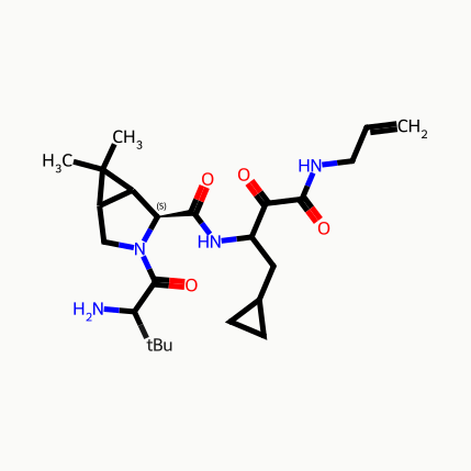 C=CCNC(=O)C(=O)C(CC1CC1)NC(=O)[C@@H]1C2C(CN1C(=O)C(N)C(C)(C)C)C2(C)C